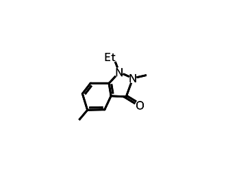 CCn1c2ccc(C)cc2c(=O)n1C